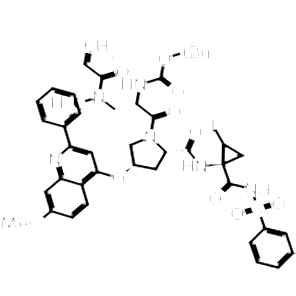 C=CC(=O)N(C)C[C@H](NC(=O)OC(C)(C)C)C(=O)N1C[C@H](Oc2cc(-c3ccccc3)nc3cc(OC)ccc23)C[C@H]1C(=O)N[C@]1(C(=O)NS(=O)(=O)c2ccccc2)CC1I